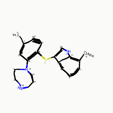 COc1cccc2c(Sc3ccc(C)cc3N3CCNCC3)c[nH]c12